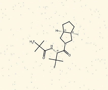 CC(C)(P)C(=O)N[C@H](C(=O)N1C[C@H]2CCC[C@@]2(C)C1)C(C)(C)F